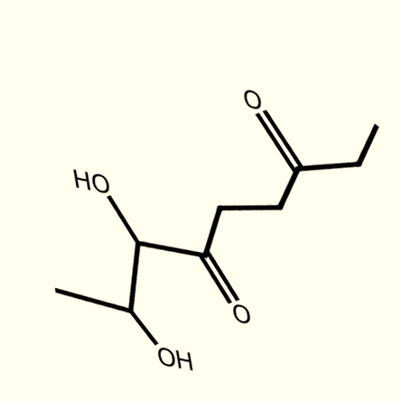 CCC(=O)CCC(=O)C(O)C(C)O